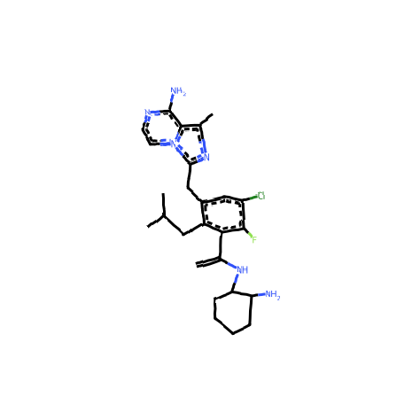 C=C(NC1CCCCC1N)c1c(F)c(Cl)cc(Cc2nc(C)c3c(N)nccn23)c1CC(C)C